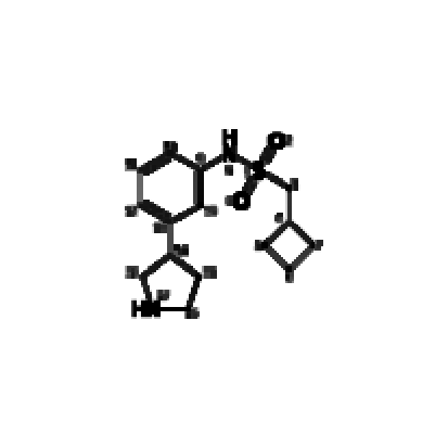 O=S(=O)(CC1CCC1)Nc1cccc(C2CCNC2)c1